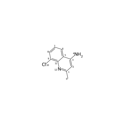 Cc1cc(N)c2cccc(Cl)c2n1